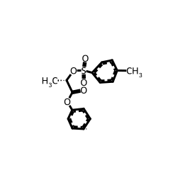 Cc1ccc(S(=O)(=O)O[C@@H](C)C(=O)Oc2cc[c]cc2)cc1